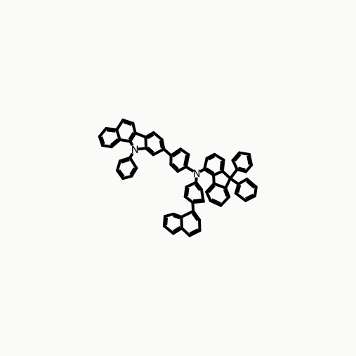 c1ccc(-n2c3cc(-c4ccc(N(c5ccc(-c6cccc7ccccc67)cc5)c5cccc6c5-c5ccccc5C6(c5ccccc5)c5ccccc5)cc4)ccc3c3ccc4ccccc4c32)cc1